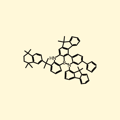 CC1(C)CCC(C)(C)c2cc(C(C)(C)c3cccc4c3Nc3cc5c(c6c3B4N(c3cccc4c3C(C)(C)c3ccccc3-4)c3cc(-c4ccccc4)ccc3-6)-c3ccccc3C5(C)C)ccc21